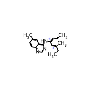 C=C/C=C(\C=C(/C)CC)Nc1ncnc2ccc(C)cc12